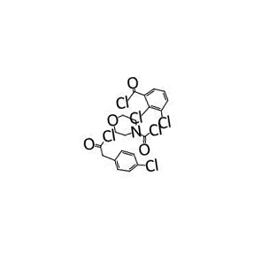 O=C(Cl)Cc1ccc(Cl)cc1.O=C(Cl)N1CCOCC1.O=C(Cl)c1cccc(Cl)c1Cl